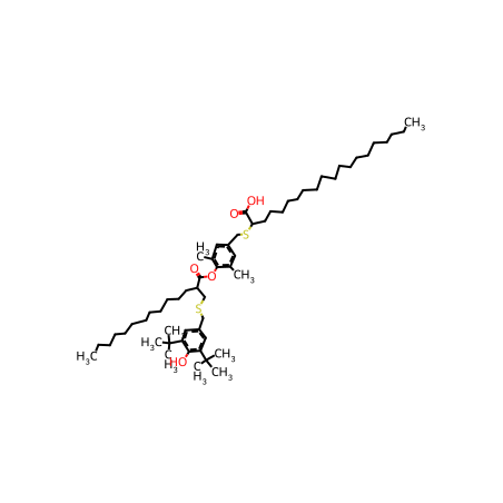 CCCCCCCCCCCCCCCCCCC(SCc1cc(C)c(OC(=O)C(CCCCCCCCCCCC)CSCc2cc(C(C)(C)C)c(O)c(C(C)(C)C)c2)c(C)c1)C(=O)O